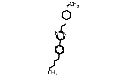 CCCCCc1ccc(-c2cnc(CC[C@H]3CC[C@H](CC)CC3)nc2)cc1